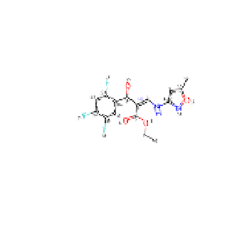 CCOC(=O)/C(=C\Nc1cc(C)on1)C(=O)c1cc(F)c(F)cc1F